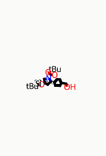 CC(C)(C)OC(=O)N1C[C@H](O[Si](C)(C)C(C)(C)C)C[C@H]1c1ccc(CO)cc1